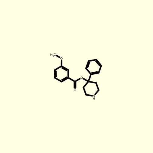 COc1cccc(C(=O)OC2(c3ccccc3)CCNCC2)c1